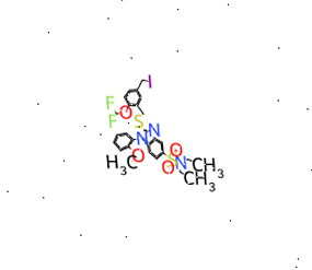 CCN(CC)S(=O)(=O)c1ccc2c(c1)nc(SCc1cc(CI)ccc1OC(F)F)n2-c1ccccc1OC